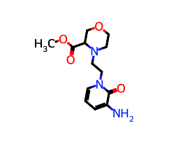 COC(=O)C1COCCN1CCn1cccc(N)c1=O